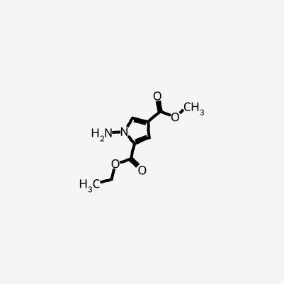 CCOC(=O)c1cc(C(=O)OC)cn1N